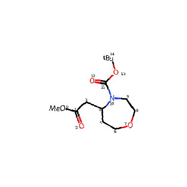 COC(=O)CC1CCOCCN1C(=O)OC(C)(C)C